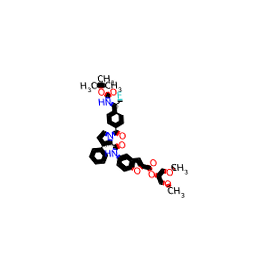 COCC(COC)OC(=O)c1cc2cc(NC(=O)[C@@H]3[C@H](C4CCCCC4)CCN3C(=O)[C@H]3CC[C@H]([C@@H](CF)NC(=O)OC(C)(C)C)CC3)ccc2o1